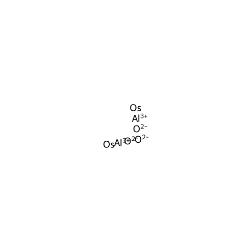 [Al+3].[Al+3].[O-2].[O-2].[O-2].[Os].[Os]